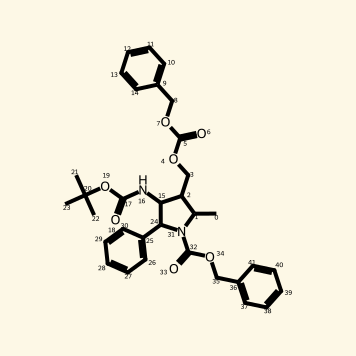 CC1C(COC(=O)OCc2ccccc2)C(NC(=O)OC(C)(C)C)C(c2ccccc2)N1C(=O)OCc1ccccc1